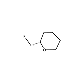 FC[C@@H]1CCCCO1